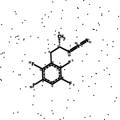 C[C@@H](Cc1c(F)c(F)cc(F)c1F)N=[N+]=[N-]